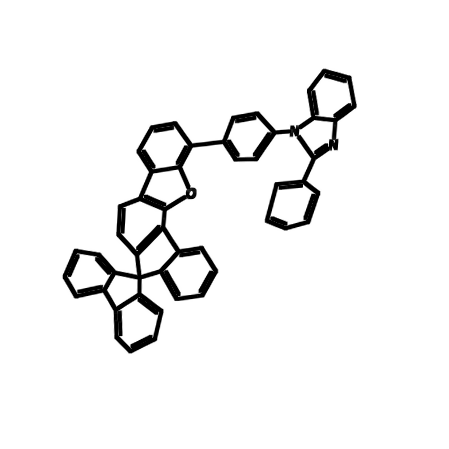 c1ccc(-c2nc3ccccc3n2-c2ccc(-c3cccc4c3oc3c5c(ccc34)C3(c4ccccc4-c4ccccc43)c3ccccc3-5)cc2)cc1